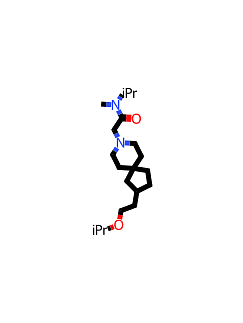 CC(C)OCCC1CCC2(CCN(CC(=O)N(C)C(C)C)CC2)C1